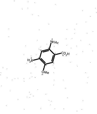 Bc1cc(NC(C)=O)c(C(=O)O)cc1OC